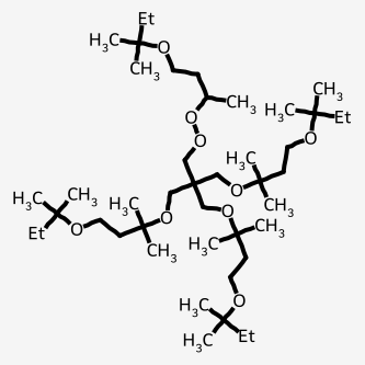 CCC(C)(C)OCCC(C)OOCC(COC(C)(C)CCOC(C)(C)CC)(COC(C)(C)CCOC(C)(C)CC)COC(C)(C)CCOC(C)(C)CC